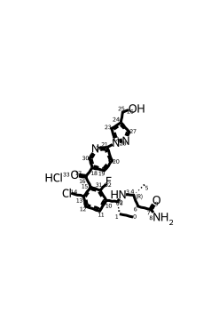 CC[C@@H](N[C@H](C)CC(N)=O)c1ccc(Cl)c(C(=O)c2ccc(-n3cc(CO)cn3)nc2)c1F.Cl